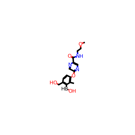 COCCNC(=O)c1cnc(Oc2ccc(CO)c(BO)c2C)cn1